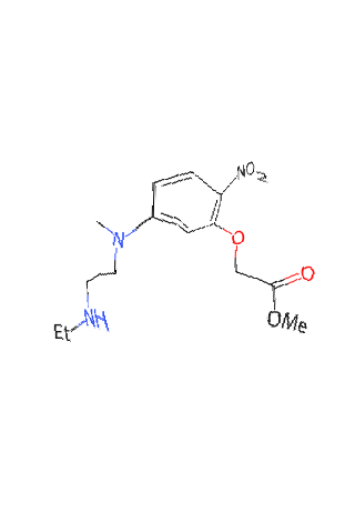 CCNCCN(C)c1ccc([N+](=O)[O-])c(OCC(=O)OC)c1